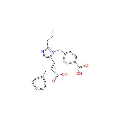 CCCc1ncc(/C=C(\Cc2ccccc2)C(=O)O)n1Cc1ccc(C(=O)O)cc1